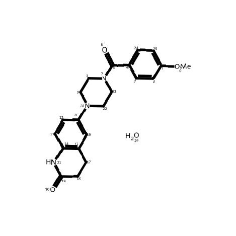 COc1ccc(C(=O)N2CCN(c3ccc4c(c3)CCC(=O)N4)CC2)cc1.O